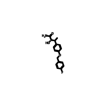 CC(c1ccc(OCc2ccc(F)cc2)cc1)N(O)C(N)=O